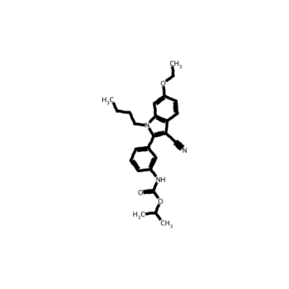 CCCCn1c(-c2cccc(NC(=O)OC(C)C)c2)c(C#N)c2ccc(OCC)cc21